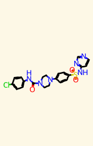 O=C(Nc1ccc(Cl)cc1)N1CCN(c2ccc(S(=O)(=O)Nc3ccncn3)cc2)CC1